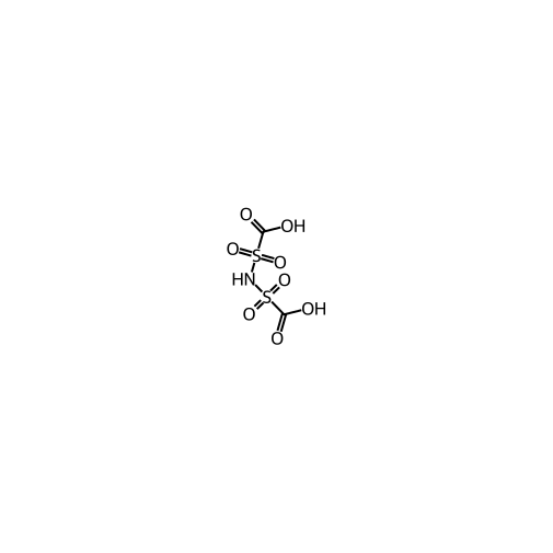 O=C(O)S(=O)(=O)NS(=O)(=O)C(=O)O